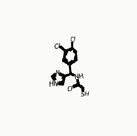 O=C(CS)NC(c1ccc(Cl)c(Cl)c1)c1c[nH]cn1